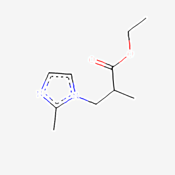 CCOC(=O)C(C)Cn1ccnc1C